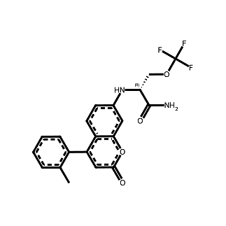 Cc1ccccc1-c1cc(=O)oc2cc(N[C@H](COC(F)(F)F)C(N)=O)ccc12